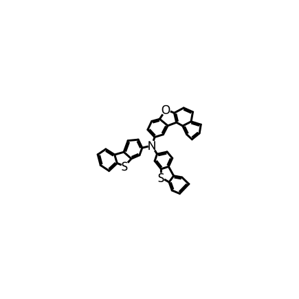 c1ccc2c(c1)ccc1oc3ccc(N(c4ccc5c(c4)sc4ccccc45)c4ccc5c(c4)sc4ccccc45)cc3c12